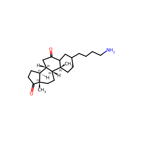 C[C@]12CCC(CCCCN)CC1C(=O)C[C@@H]1[C@H]2CC[C@]2(C)C(=O)CC[C@@H]12